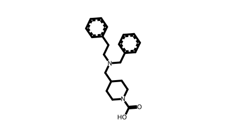 O=C(O)N1CCC(CN(CCc2ccccc2)Cc2ccccc2)CC1